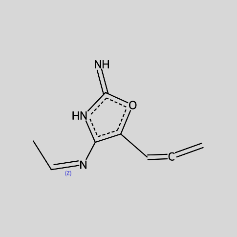 C=C=Cc1oc(=N)[nH]c1/N=C\C